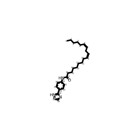 CCCCC/C=C\C/C=C\CCCCCCCC(=O)Nc1ccc(-c2ncn[nH]2)cc1